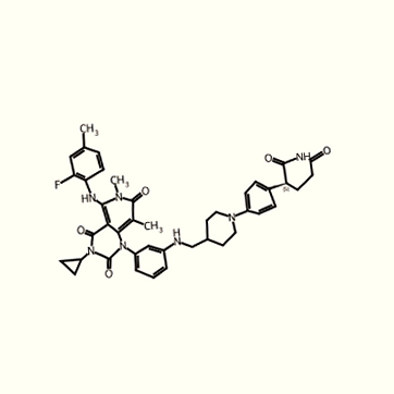 Cc1ccc(Nc2c3c(=O)n(C4CC4)c(=O)n(-c4cccc(NCC5CCN(c6ccc([C@@H]7CCC(=O)NC7=O)cc6)CC5)c4)c3c(C)c(=O)n2C)c(F)c1